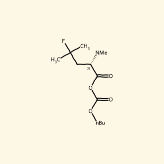 CCCCOC(=O)OC(=O)[C@H](CC(C)(C)F)NC